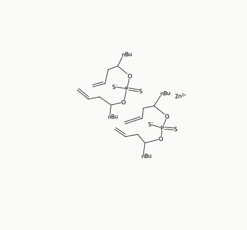 C=CCC(CCCC)OP(=S)([S-])OC(CC=C)CCCC.C=CCC(CCCC)OP(=S)([S-])OC(CC=C)CCCC.[Zn+2]